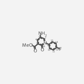 COC(=O)c1cc(N)cn(-c2ccc(F)cc2)c1=O